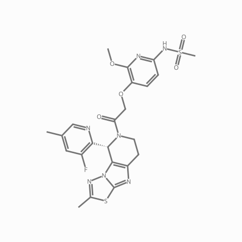 COc1nc(NS(C)(=O)=O)ccc1OCC(=O)N1CCc2nc3sc(C)nn3c2[C@@H]1c1ncc(C)cc1F